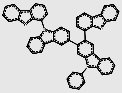 c1ccc(-n2c3ccccc3c3cc(-c4cccc5c4oc4ccccc45)c(-c4ccc5c(c4)c4ccccc4n5-c4cccc5c4oc4ccccc45)cc32)cc1